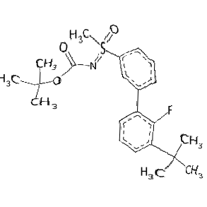 CC(C)(C)OC(=O)N=S(C)(=O)c1cccc(-c2cccc(C(C)(C)C)c2F)c1